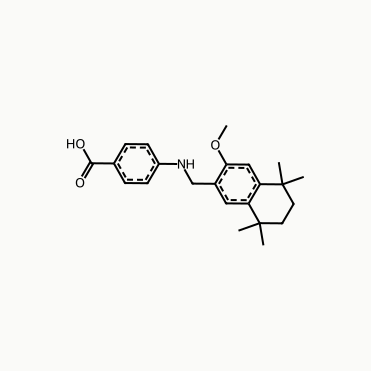 COc1cc2c(cc1CNc1ccc(C(=O)O)cc1)C(C)(C)CCC2(C)C